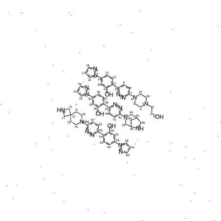 OCCN1CCN(c2ccc(-c3ccc(-n4cccn4)cc3O)nn2)CC1.Oc1cc(-n2cccn2)ccc1-c1ccc(N2CC3CNC(C3)C2)nn1.Oc1cc(-n2cccn2)ccc1-c1ccc(N2CCC3(CC2)CNC3)nn1